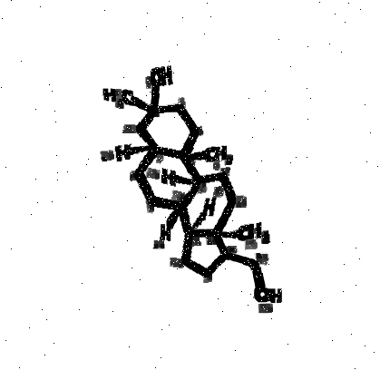 CC1(O)CC[C@@]2(C)[C@@H](CC[C@@H]3[C@@H]2CC[C@]2(C)C(CO)CC[C@@H]32)C1